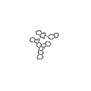 c1ccc2cc(-c3nc(-n4c5ccccc5c5cc6c7cc8ccccc8cc7n7c8ccccc8c(c54)c67)c4ccccc4n3)ccc2c1